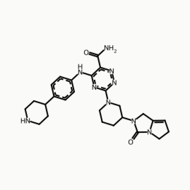 NC(=O)c1nnc(N2CCCC(N3CC4=CCCN4C3=O)C2)nc1Nc1ccc(C2CCNCC2)cc1